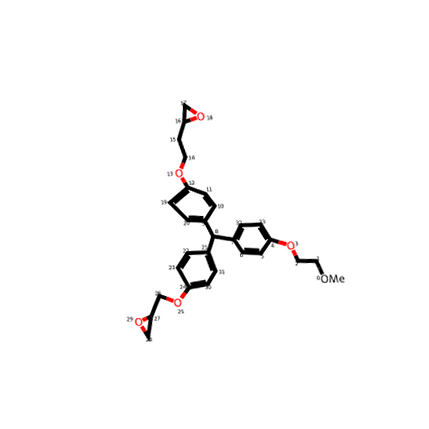 COCCOc1ccc(C(c2ccc(OCCC3CO3)cc2)c2ccc(OCC3CO3)cc2)cc1